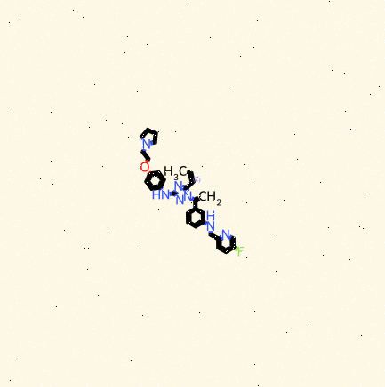 C=C(C1C=CC=C(NCc2ccc(F)cn2)C1)n1nc(Nc2ccc(OCCN3CCCC3)cc2)nc1/C=C\C